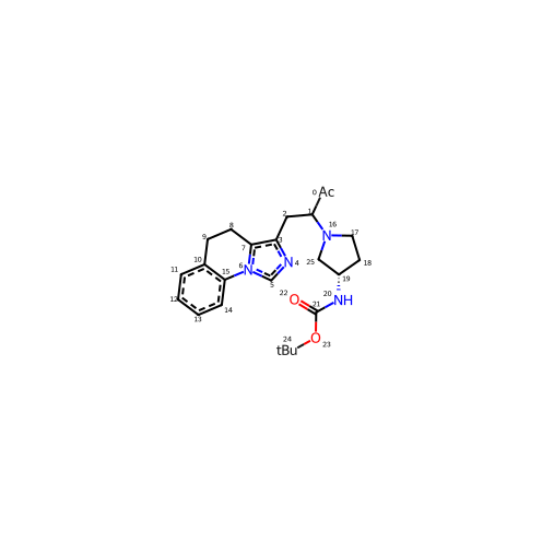 CC(=O)C(Cc1ncn2c1CCc1ccccc1-2)N1CC[C@H](NC(=O)OC(C)(C)C)C1